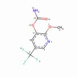 COc1ncc(C(F)(F)F)cc1OC(N)=O